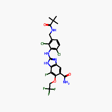 CC(C)(C)C(=O)NCc1ccc(Cl)c(Nc2nc3cc(C(N)=O)c(OCC(F)(F)F)c(F)c3[nH]2)c1Cl